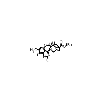 Cc1cc2c3c(nc(Cl)nc3c1F)N1CC3CC4(C(=O)OC(C)(C)C)C[C@@H]([C@H]1CO2)N34